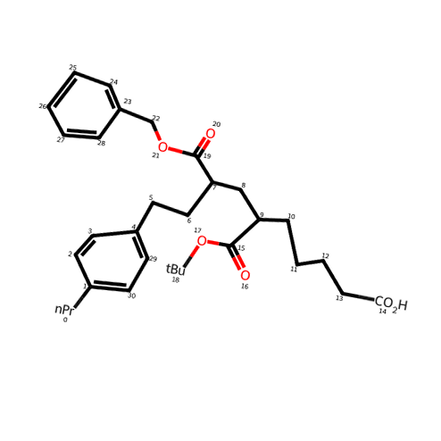 CCCc1ccc(CCC(CC(CCCCC(=O)O)C(=O)OC(C)(C)C)C(=O)OCc2ccccc2)cc1